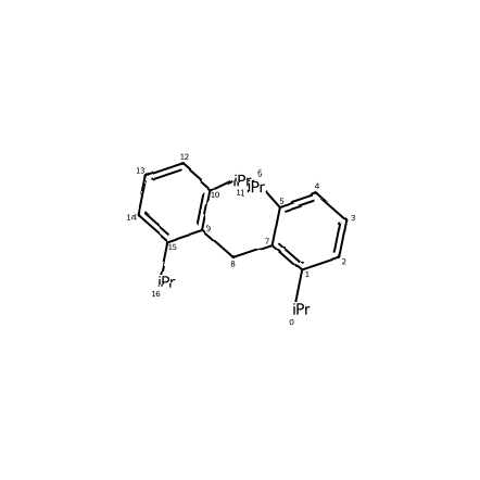 CC(C)c1cccc(C(C)C)c1Cc1c(C(C)C)cccc1C(C)C